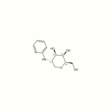 OC[C@H]1OC[C@H](Nc2ccccn2)[C@@H](O)[C@H]1O